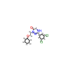 O=C1CNC(c2cc(Cl)cc(Cl)c2)=NN1CCOc1ccccc1